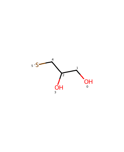 OCC(O)C[S]